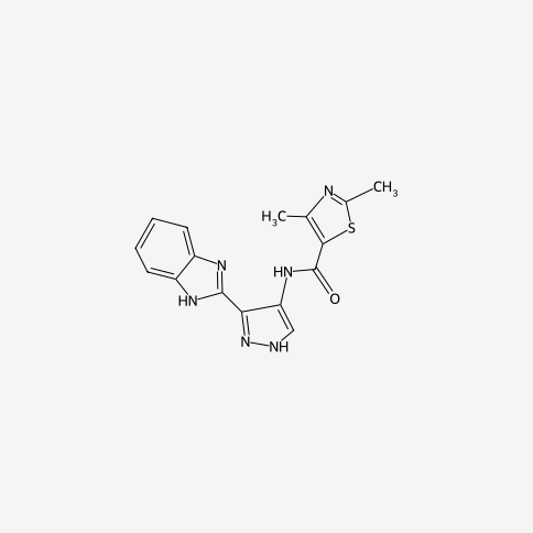 Cc1nc(C)c(C(=O)Nc2c[nH]nc2-c2nc3ccccc3[nH]2)s1